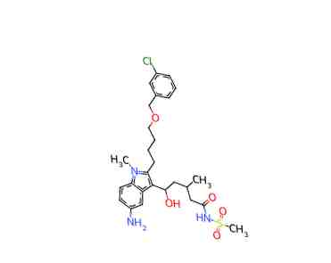 CC(CC(=O)NS(C)(=O)=O)CC(O)c1c(CCCCOCc2cccc(Cl)c2)n(C)c2ccc(N)cc12